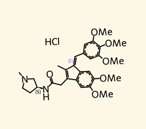 COc1cc2c(cc1OC)/C(=C\c1cc(OC)c(OC)c(OC)c1)C(C)=C2CC(=O)N[C@H]1CCN(C)C1.Cl